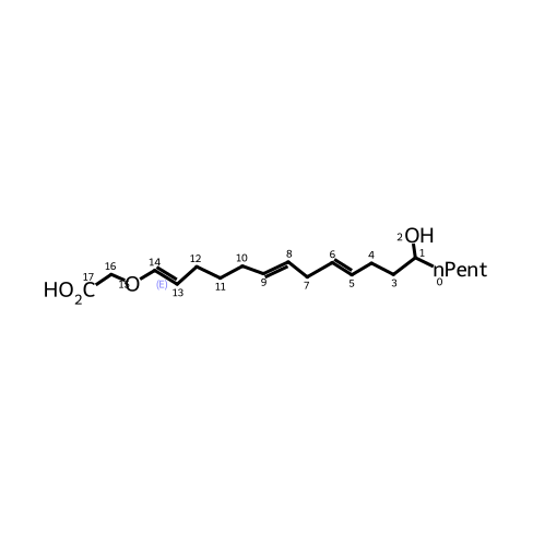 CCCCCC(O)CCC=CCC=CCCC/C=C/OCC(=O)O